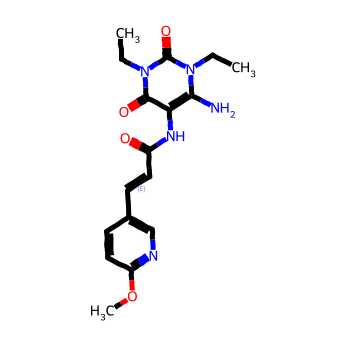 CCn1c(N)c(NC(=O)/C=C/c2ccc(OC)nc2)c(=O)n(CC)c1=O